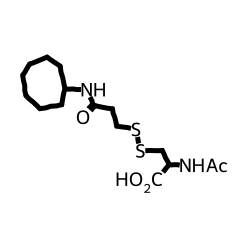 CC(=O)NC(CSSCCC(=O)NC1CCCCCCC1)C(=O)O